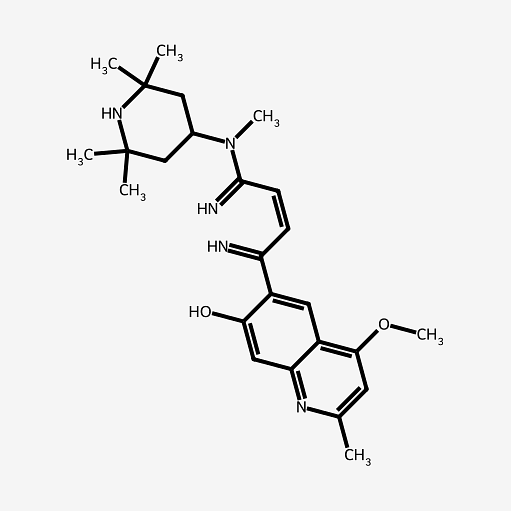 COc1cc(C)nc2cc(O)c(C(=N)/C=C\C(=N)N(C)C3CC(C)(C)NC(C)(C)C3)cc12